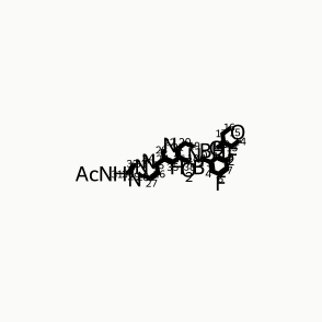 BC(B)(c1cc(F)cc(F)c1OC1CCOCC1)N1CCc2ncc(-c3ccc4nc(NC(C)=O)cn4n3)cc2C1=O